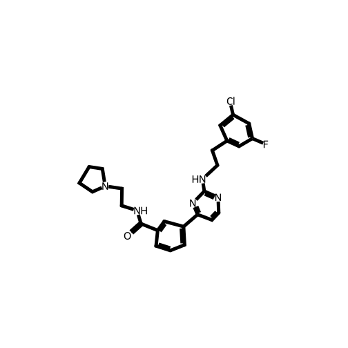 O=C(NCCN1CCCC1)c1cccc(-c2ccnc(NCCc3cc(F)cc(Cl)c3)n2)c1